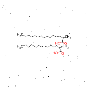 C=C(CCCCCCCCCCCC)C(=O)O.C=C(CCCCCCCCCCCCC)C(=O)O